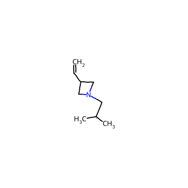 C=CC1CN(C[C](C)C)C1